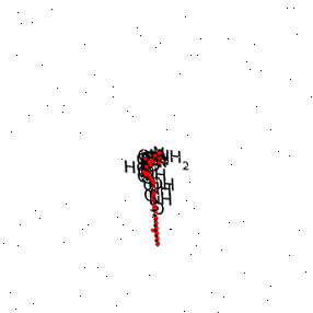 C=C(CCCCCC)CCCCCCCCC(=O)SCCNC(=O)CCNC(=O)[C@H](O)C(C)(C)COP(=O)(O)OP(=O)(O)OC[C@H]1O[C@@H](n2cnc3c(N)ncnc32)[C@H](O)[C@@H]1OP(=O)(O)O